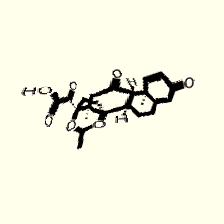 CC1O[C@@]2(C(=O)C(=O)O)CC[C@@]3(O1)[C@@H]1CCC4=CC(=O)C=C[C@]4(C)[C@H]1C(=O)C[C@]23C